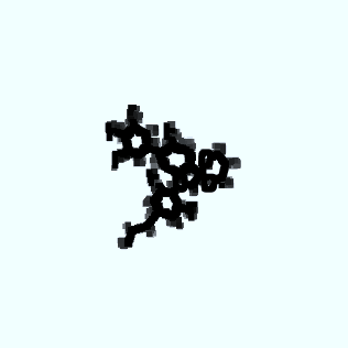 CCCc1cc(F)c(OCC2(c3ccc(-c4cc(F)c(F)c(F)c4)c(F)c3)OCCCO2)c(F)c1